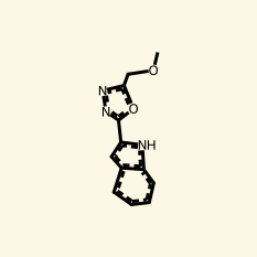 COCc1nnc(-c2cc3ccccc3[nH]2)o1